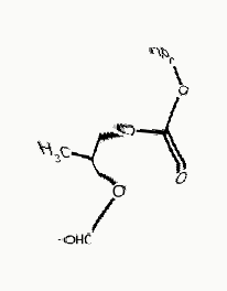 CCCOC(=O)OC(C)O[C]=O